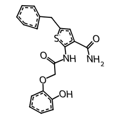 NC(=O)c1cc(Cc2ccccc2)sc1NC(=O)COc1ccccc1O